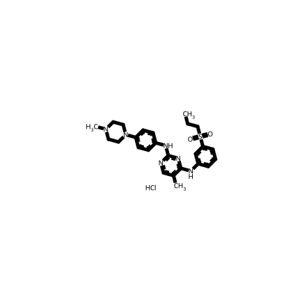 CCCS(=O)(=O)c1cccc(Nc2nc(Nc3ccc(N4CCN(C)CC4)cc3)ncc2C)c1.Cl